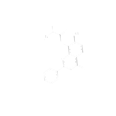 CC(C)C(N)C(=O)Oc1c(O)ccc2c(=O)cc(-c3ccccc3)oc12